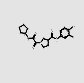 Cc1cc(NC(=O)C2CCN(C(=O)C(=O)NC3CCCC3)C2)ccc1F